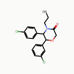 O=NCCN1C(=O)COC(c2cccc(Cl)c2)C1c1ccc(Cl)cc1